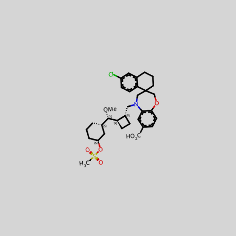 CO[C@@H]([C@H]1CCC[C@H](OS(C)(=O)=O)C1)[C@@H]1CC[C@H]1CN1CC2(CCCc3cc(Cl)ccc32)COc2ccc(C(=O)O)cc21